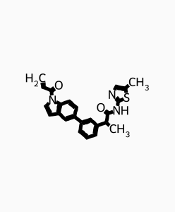 C=CC(=O)n1ccc2cc(-c3cccc(C(C)C(=O)Nc4ncc(C)s4)c3)ccc21